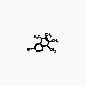 CC1=C(C)C(C)c2cc(Br)ccc2C1C